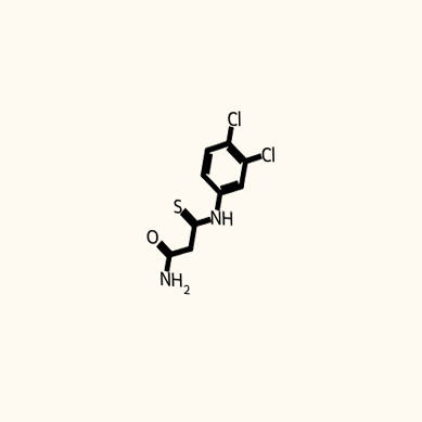 NC(=O)CC(=S)Nc1ccc(Cl)c(Cl)c1